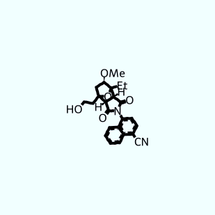 CCC12OC(CCO)(C[C@@H]1OC)[C@H]1C(=O)N(c3ccc(C#N)c4ccccc34)C(=O)[C@H]12